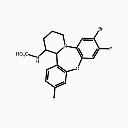 O=C(O)NC1CCCN2c3cc(Br)c(F)cc3Oc3cc(F)ccc3C12